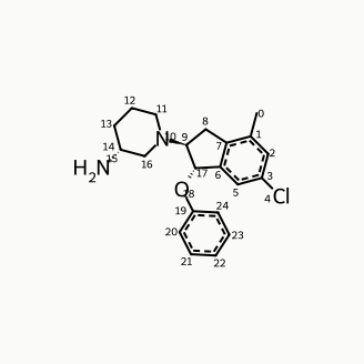 Cc1cc(Cl)cc2c1C[C@H](N1CCC[C@@H](N)C1)[C@H]2Oc1ccccc1